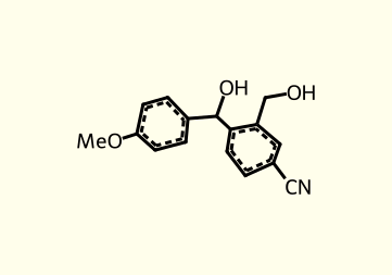 COc1ccc(C(O)c2ccc(C#N)cc2CO)cc1